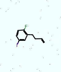 C=CCCc1cc(I)ccc1F